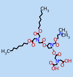 CCCCCCCCOC(=O)CN(CC(=O)OCCCCCCCC)CC(=O)O[C@@H]1C[C@@H](COC(=O)CN(CC(=O)O)CC(=O)O)N(C(=O)OCCN(C)C)C1